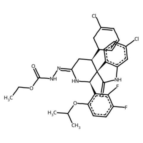 CCOC(=O)N/N=C1/C[C@@H](C2C=CC=C(Cl)C2)[C@]2(C(=O)Nc3cc(Cl)ccc32)[C@@H](c2c(OC(C)C)ccc(F)c2F)N1